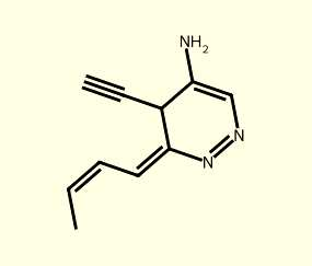 C#CC1C(N)=CN=N/C1=C/C=C\C